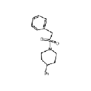 CC(C)C1CCN(S(=O)(=O)Cc2ccccc2)CC1